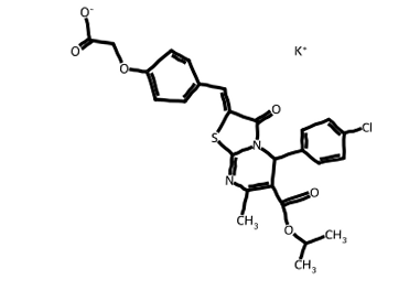 CC1=C(C(=O)OC(C)C)C(c2ccc(Cl)cc2)n2c(s/c(=C\c3ccc(OCC(=O)[O-])cc3)c2=O)=N1.[K+]